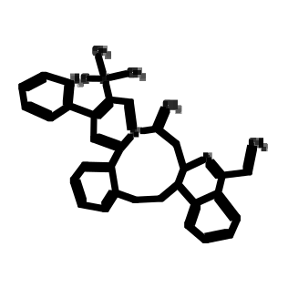 C=CC1=NC2CC(=C)[n+]3cc([Si](C)(C)C)c(-c4ccccc4)cc3-c3ccccc3CCC2c2ccccc21